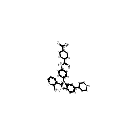 Nc1ncccc1-c1nc2ccc(C3CCOCC3)cc2n1-c1ccc(NC(=O)C2CCC(C(=O)O)CC2)cc1